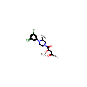 COC(CC(C)=O)C(=O)N1CCN(c2cc(F)cc(Cl)c2)[C@@H](C)C1